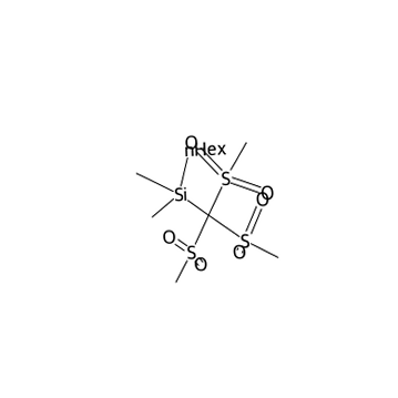 CCCCCC[Si](C)(C)C(S(C)(=O)=O)(S(C)(=O)=O)S(C)(=O)=O